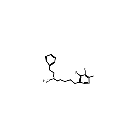 CN(CCCCCc1ccc(F)c(F)c1F)CCc1ccccc1